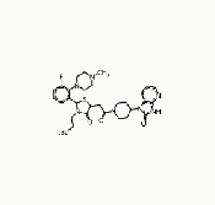 CN1CCN(c2c(F)cccc2C2SC(CC(=O)N3CCC(n4c(=O)[nH]c5ncccc54)CC3)C(=O)N2CCC(C)(C)C)CC1